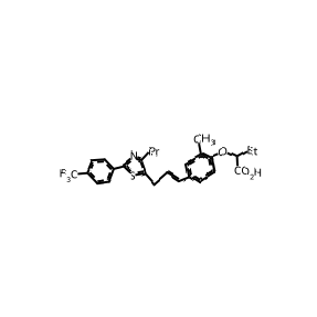 CCC(Oc1ccc(C=CCc2sc(-c3ccc(C(F)(F)F)cc3)nc2C(C)C)cc1C)C(=O)O